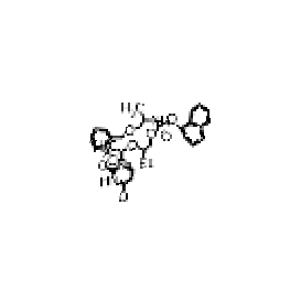 CCC(COP(=O)(NC(C)COCc1ccccc1C)Oc1cccc2ccccc12)OC(C)n1ccc(=O)[nH]c1=O